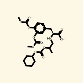 COC(=O)Oc1ccc(C[C@H](NCC(C)OC(=O)OC2CCCCC2)C(=O)O)cc1OC(=O)OC